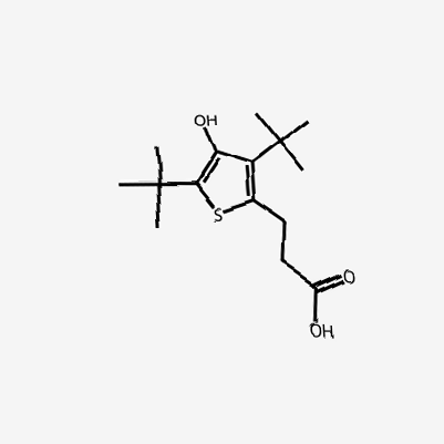 CC(C)(C)c1sc(CCC(=O)O)c(C(C)(C)C)c1O